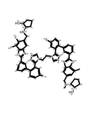 Cc1cc(CN(C)[C@@H]2CCC[C@@H]2O)cc2nc(-c3cccc(-c4ccc(F)cc4-c4nncn4CCn4cnnc4-c4cc(F)ccc4-c4cccc(-c5nc6cc(CN[C@@H]7CCC[C@@H]7O)c(F)c(F)c6o5)c4)c3)oc12